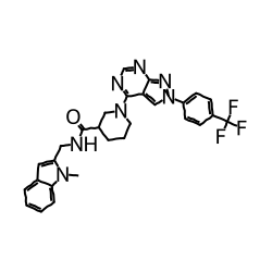 Cn1c(CNC(=O)C2CCCN(c3ncnc4nn(-c5ccc(C(F)(F)F)cc5)cc34)C2)cc2ccccc21